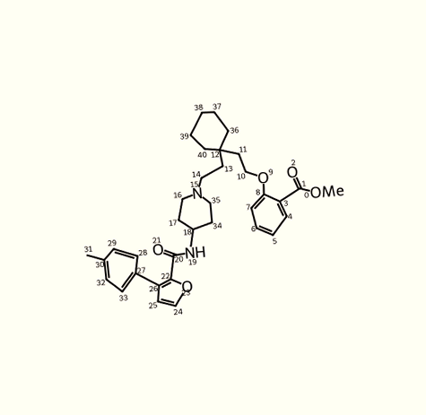 COC(=O)c1ccccc1OCCC1(CCN2CCC(NC(=O)c3occc3-c3ccc(C)cc3)CC2)CCCCC1